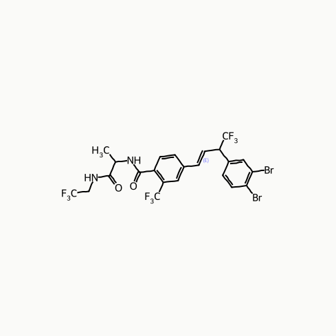 CC(NC(=O)c1ccc(/C=C/C(c2ccc(Br)c(Br)c2)C(F)(F)F)cc1C(F)(F)F)C(=O)NCC(F)(F)F